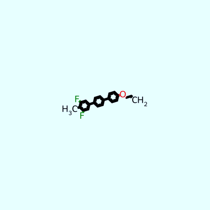 C=CCOc1ccc(-c2ccc(-c3cc(F)c(C)c(F)c3)cc2)cc1